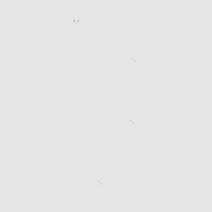 COc1cc(C)c(S(=O)(=O)N2CCC(OCC(=O)NCC3CCC(C(c4cccc(F)c4)N(C)C)CC3)C2)c(C)c1C